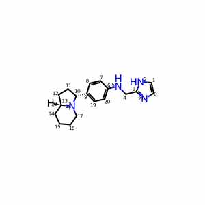 c1c[nH]c(CNc2ccc([C@H]3CC[C@H]4CCCCN43)cc2)n1